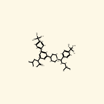 CC(=O)C(CC(C)C)c1cc(-c2ccc(C(F)(F)F)cc2)cc(C2CCN(C(CCC(C)C)c3ccc(C(F)(F)F)cc3)CC2)c1